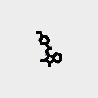 O=C1Nc2ccccc2/C1=C\Nc1ccc(O)cc1